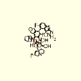 N#Cc1c(N)sc2ccc(F)c(-c3c4c(c5c(N6C7CCC6CN(C[C@H](O)[C@H](O)CO)C7)nc(OC[C@@]67CCCN6C[C@H](F)C7)nc5c3F)COC4)c12